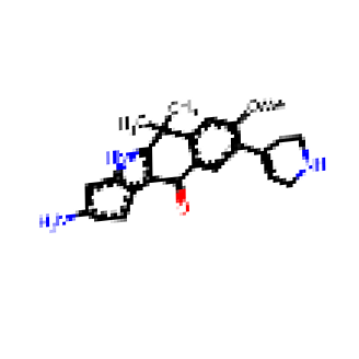 COc1cc2c(cc1C1=CCNCC1)C(=O)c1c([nH]c3cc(N)ccc13)C2(C)C